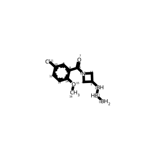 BBBC1CN(C(=O)c2cc(Cl)ccc2OC)C1